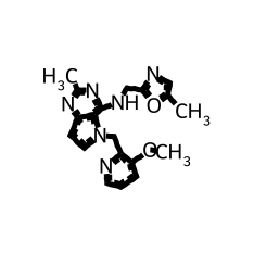 COc1cccnc1Cn1ccc2nc(C)nc(NCc3ncc(C)o3)c21